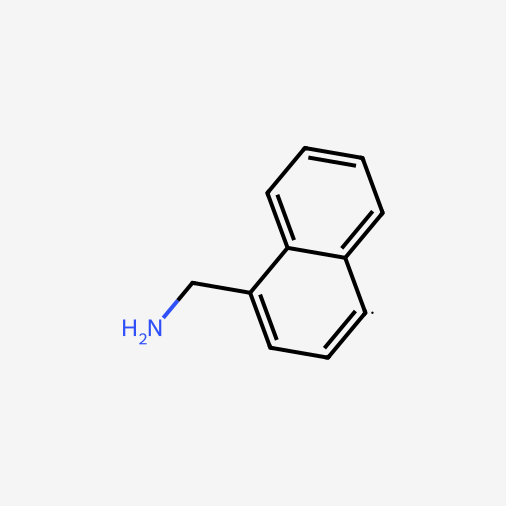 NCc1cc[c]c2ccccc12